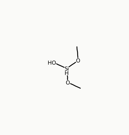 CO[SiH](O)OC